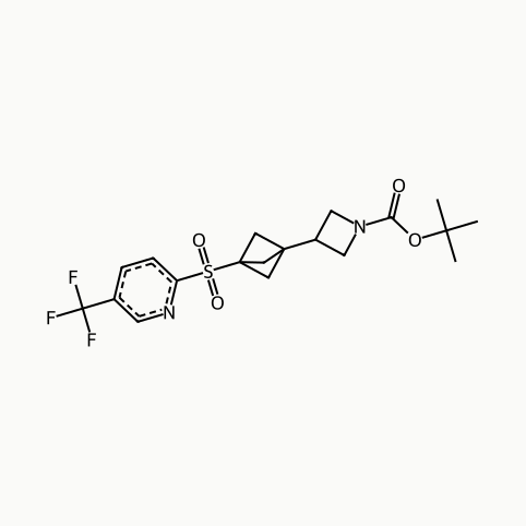 CC(C)(C)OC(=O)N1CC(C23CC(S(=O)(=O)c4ccc(C(F)(F)F)cn4)(C2)C3)C1